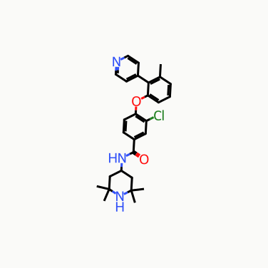 Cc1cccc(Oc2ccc(C(=O)NC3CC(C)(C)NC(C)(C)C3)cc2Cl)c1-c1ccncc1